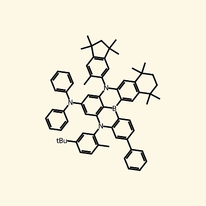 Cc1ccc(C(C)(C)C)cc1N1c2cc(-c3ccccc3)ccc2B2c3cc4c(cc3N(c3cc5c(cc3C)C(C)(C)CC5(C)C)c3cc(N(c5ccccc5)c5ccccc5)cc1c32)C(C)(C)CCC4(C)C